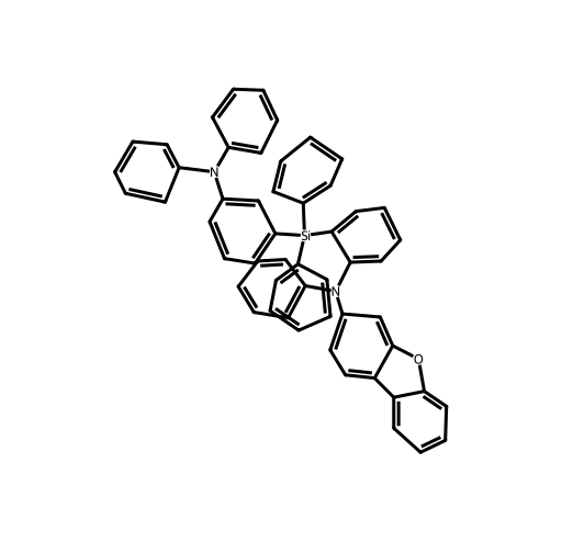 c1ccc(N(c2ccccc2)c2cccc([Si](c3ccccc3)(c3ccccc3)c3ccccc3N(c3ccccc3)c3ccc4c(c3)oc3ccccc34)c2)cc1